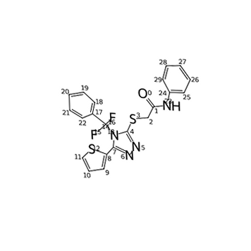 O=C(CSc1nnc(-c2cccs2)n1C(F)(F)c1ccccc1)Nc1ccccc1